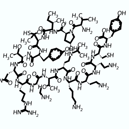 CC[C@H](C)[C@H](NC(=O)[C@@H]1C[C@@H](O)CN1C(=O)[C@@H](N)C(C)C)C(=O)N[C@H](C(=O)N[C@@H](Cc1ccc(O)cc1)C(=O)N[C@H](C(=O)N[C@@H](CC(N)=O)C(=O)N[C@@H](CCCNC(=N)N)C(=O)N[C@@H](CCN)C(=O)N[C@H](C(=O)N[C@H](CCNC(C)C)C(=O)N[C@@H](CCCCN)C(=O)N[C@@H](CCN)C(=O)N[C@@H](CCN)C(=O)N[C@@H](CS)C(=O)N[C@@H](Cc1ccc(O)cc1)C(=O)O)[C@@H](C)O)[C@@H](C)O)C(C)(C)S